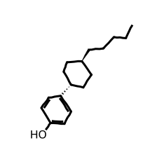 CCCCC[C@H]1CC[C@H](c2ccc(O)cc2)CC1